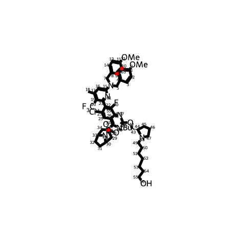 COc1ccc(CN(Cc2ccc(OC)cc2)c2cc(C)c(C(F)(F)F)c(-c3c(Cl)cc4c(N5CC6CCC(C5)N6C(=O)OC(C)(C)C)nc(OC[C@@H]5CCCN5CCCCCCCO)nc4c3F)n2)cc1